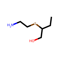 CCC(CO)SCCN